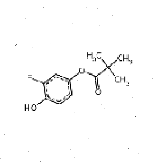 CC(C)(C)C(=O)Oc1ccc(O)c(F)c1